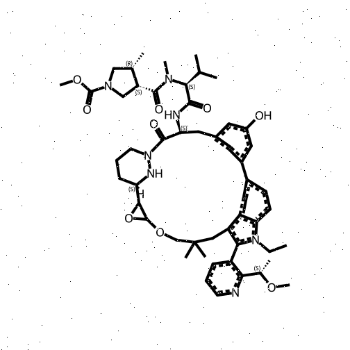 CCn1c(-c2cccnc2[C@H](C)OC)c2c3cc(ccc31)-c1cc(O)cc(c1)C[C@H](NC(=O)[C@H](C(C)C)N(C)C(=O)[C@@H]1CN(C(=O)OC)C[C@@H]1C)C(=O)N1CCC[C@H](N1)C1OC1OCC(C)(C)C2